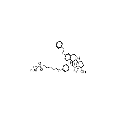 CCCCNS(=O)(=O)CCCCCOc1ccc([C@H]2C[C@]3(C)[C@@H](O)CC[C@H]3[C@@H]3CCc4cc(OCc5ccccc5)ccc4[C@H]32)cc1